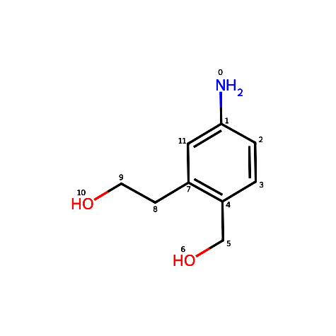 Nc1ccc(CO)c(CCO)c1